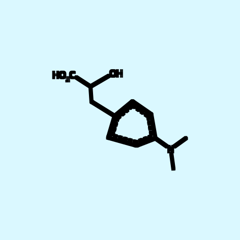 CN(C)c1ccc(CC(O)C(=O)O)cc1